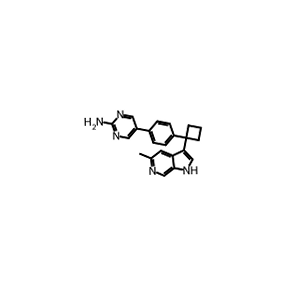 Cc1cc2c(C3(c4ccc(-c5cnc(N)nc5)cc4)CCC3)c[nH]c2cn1